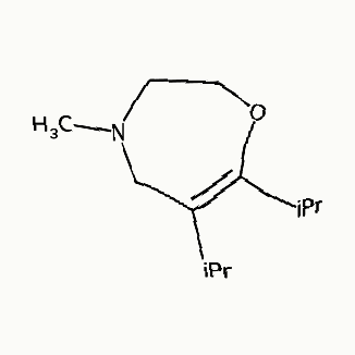 CC(C)C1=C(C(C)C)OCCN(C)C1